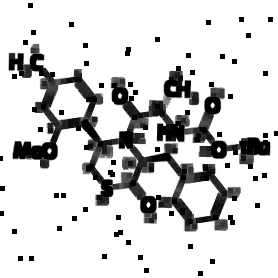 COc1cc(C)ccc1[C@@H]1CSC(=O)[C@H](Cc2ccccc2)N1C(=O)[C@H](C)NC(=O)OC(C)(C)C